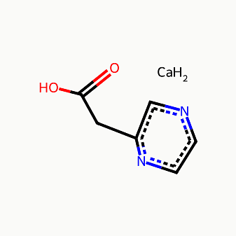 O=C(O)Cc1cnccn1.[CaH2]